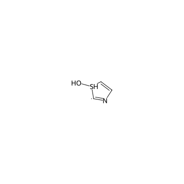 O[SH]1[C]=NC=C1